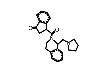 O=C1CC(C(=O)N2CCc3ccccc3C2CN2CCCC2)c2ccccc21